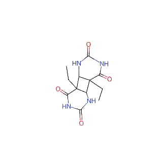 CCC12C(=O)NC(=O)NC1C1(CC)C(=O)NC(=O)NC21